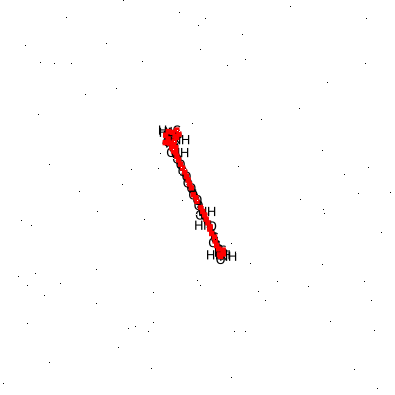 Cc1ccc(NC(=O)c2ccc(C(=O)NCCOCCOCCOCCOCCOCCOCCOCCOCCOCCNC(=O)CCCCCNC(=O)CCCCCCC(=O)CCCC[C@@H]3SC[C@@H]4NC(=O)N[C@@H]43)cc2)cc1Nc1nccc(-c2cccnc2)n1